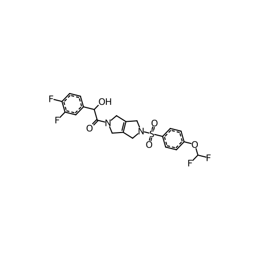 O=C(C(O)c1ccc(F)c(F)c1)N1CC2=C(C1)CN(S(=O)(=O)c1ccc(OC(F)F)cc1)C2